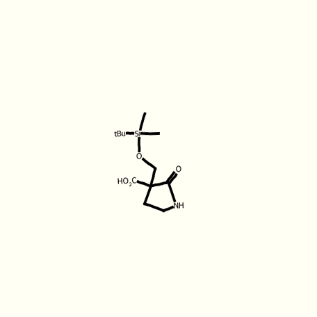 CC(C)(C)[Si](C)(C)OCC1(C(=O)O)CCNC1=O